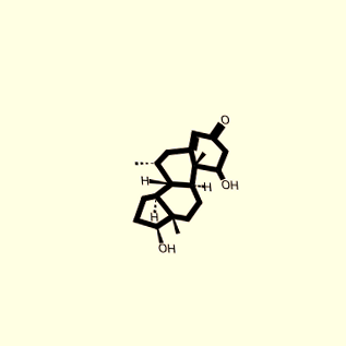 C[C@@H]1CC2=CC(=O)CC(O)[C@]2(C)[C@H]2CC[C@]3(C)[C@@H](O)CC[C@H]3[C@H]12